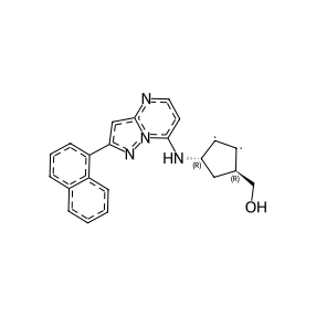 OC[C@@H]1[CH][CH][C@@H](Nc2ccnc3cc(-c4cccc5ccccc45)nn23)C1